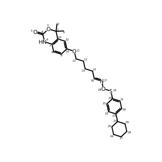 CC1(C)OC(=O)Nc2ccc(OCCCCC=NOSc3ccc(C4CCCCC4)cc3)cc21